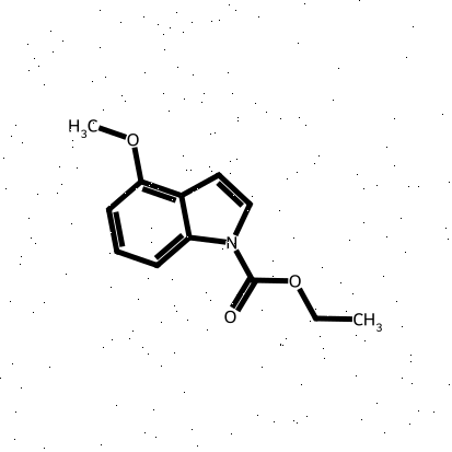 CCOC(=O)n1ccc2c(OC)cccc21